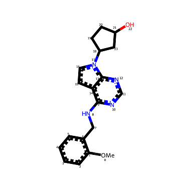 COc1ccccc1CNc1ncnc2c1ccn2C1C[CH]C(O)C1